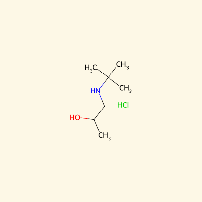 CC(O)CNC(C)(C)C.Cl